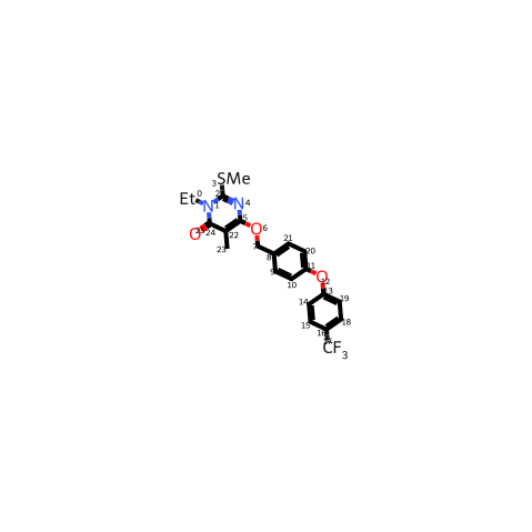 CCn1c(SC)nc(OCc2ccc(Oc3ccc(C(F)(F)F)cc3)cc2)c(C)c1=O